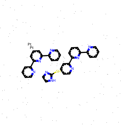 Sc1ncc[nH]1.[Pt].[Pt].c1ccc(-c2cccc(-c3ccccn3)n2)nc1.c1ccc(-c2cccc(-c3ccccn3)n2)nc1